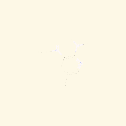 CN(C)c1ncc([N+](=O)[O-])cc1NC(=O)O